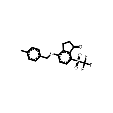 Cc1ccc(COc2ccc(S(=O)(=O)C(F)(F)F)c3c2CCC3=O)cc1